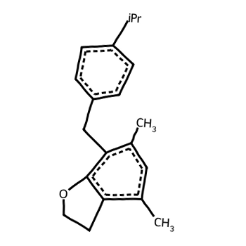 Cc1cc(C)c(Cc2ccc(C(C)C)cc2)c2c1CCO2